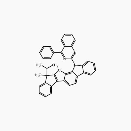 CC(C)C1(C)c2ccccc2-c2c1oc1c2ccc2c3ccccc3n(-c3nc(-c4ccccc4)c4ccccc4n3)c21